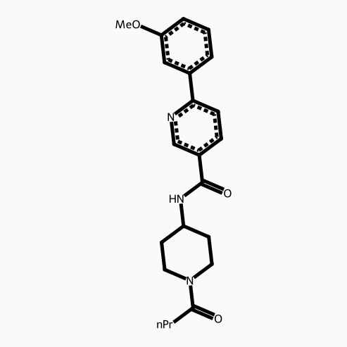 CCCC(=O)N1CCC(NC(=O)c2ccc(-c3cccc(OC)c3)nc2)CC1